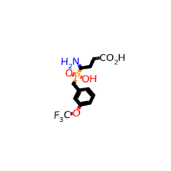 NC(CCC(=O)O)P(=O)(O)Cc1cccc(OC(F)(F)F)c1